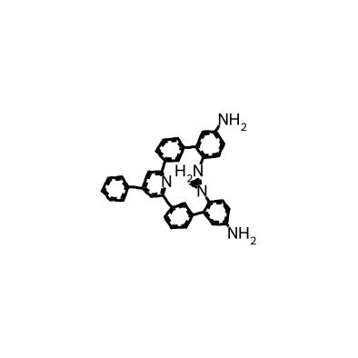 Nc1ccc(N)c(-c2cccc(-c3cc(-c4ccccc4)cc(-c4cccc(-c5cc(N)ccc5N5C#C5)c4)n3)c2)c1